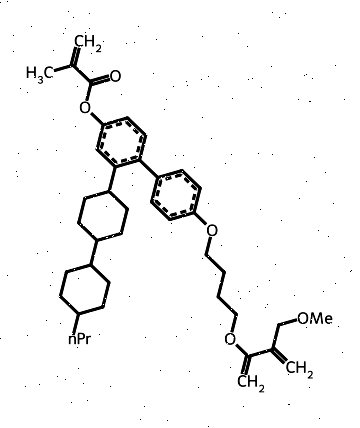 C=C(C)C(=O)Oc1ccc(-c2ccc(OCCCCOC(=C)C(=C)COC)cc2)c(C2CCC(C3CCC(CCC)CC3)CC2)c1